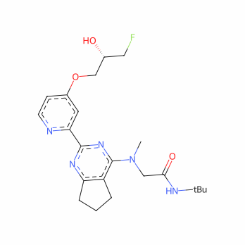 CN(CC(=O)NC(C)(C)C)c1nc(-c2cc(OC[C@H](O)CF)ccn2)nc2c1CCC2